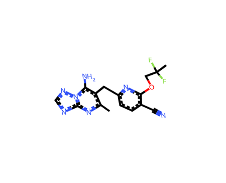 Cc1nc2ncnn2c(N)c1Cc1ccc(C#N)c(OCC(C)(F)F)n1